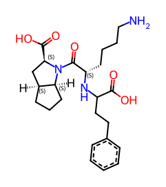 NCCCC[C@H](NC(CCc1ccccc1)C(=O)O)C(=O)N1[C@H](C(=O)O)C[C@@H]2CCC[C@@H]21